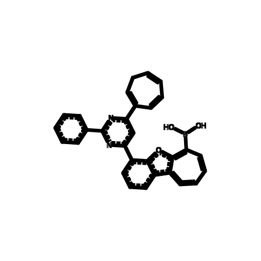 OB(O)C1=c2oc3c(-c4cc(C5=CCC=CC=C5)nc(-c5ccccc5)n4)cccc3c2=C=CC=C1